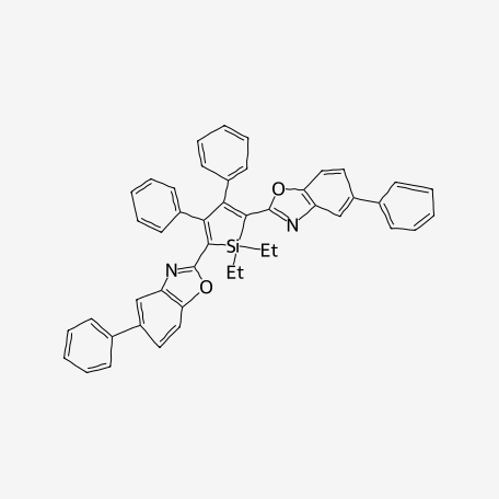 CC[Si]1(CC)C(c2nc3cc(-c4ccccc4)ccc3o2)=C(c2ccccc2)C(c2ccccc2)=C1c1nc2cc(-c3ccccc3)ccc2o1